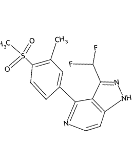 Cc1cc(-c2nccc3[nH]nc(C(F)F)c23)ccc1S(C)(=O)=O